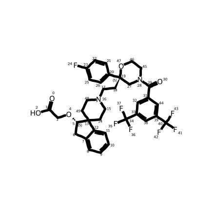 O=C(O)CO[C@H]1Cc2ccccc2C12CCN(CC[C@]1(c3ccc(F)cc3)CN(C(=O)c3cc(C(F)(F)F)cc(C(F)(F)F)c3)CCO1)CC2